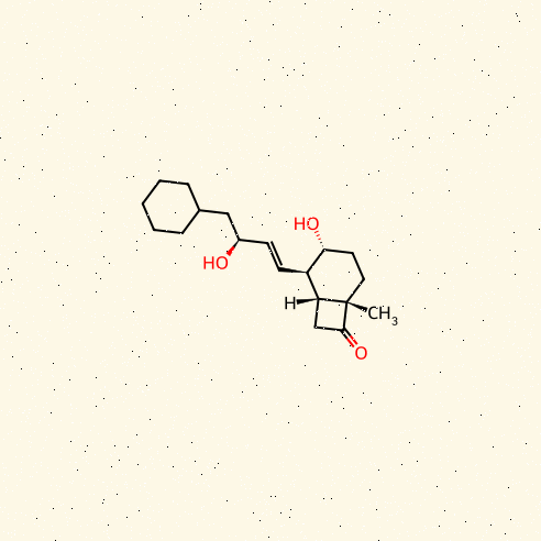 C[C@]12CC[C@@H](O)[C@H](/C=C/[C@@H](O)CC3CCCCC3)[C@H]1CC2=O